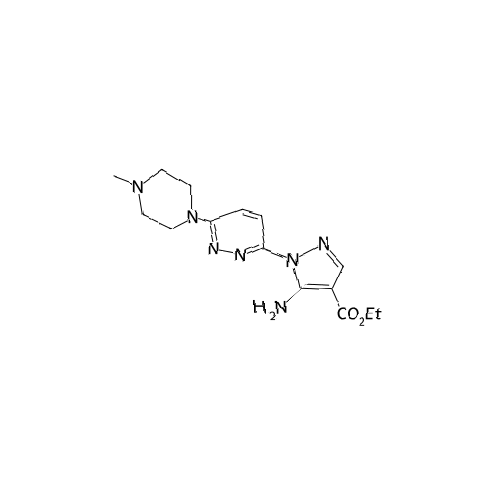 CCOC(=O)c1cnn(-c2ccc(N3CCN(C)CC3)nn2)c1N